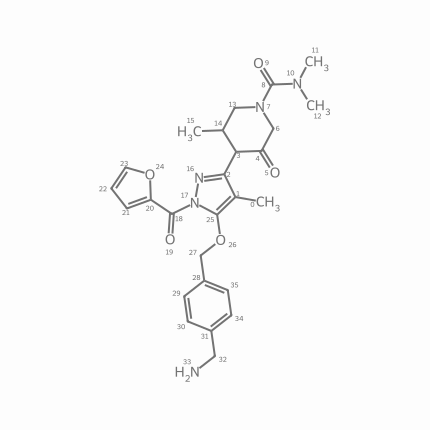 Cc1c(C2C(=O)CN(C(=O)N(C)C)CC2C)nn(C(=O)c2ccco2)c1OCc1ccc(CN)cc1